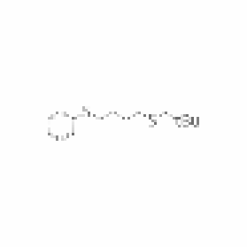 CC(C)(C)CSCCCCSc1ccccc1